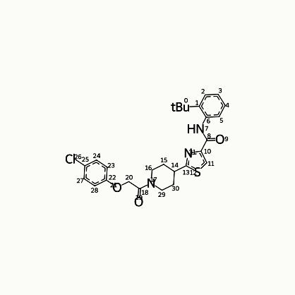 CC(C)(C)c1ccccc1NC(=O)c1csc(C2CCN(C(=O)COc3ccc(Cl)cc3)CC2)n1